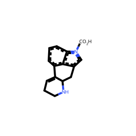 O=C(O)n1cc2c3c(cccc31)C1=CCCNC1C2